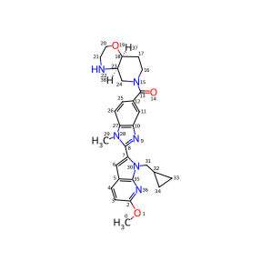 COc1ccc2cc(-c3nc4cc(C(=O)N5CC[C@@H]6OCCN[C@@H]6C5)ccc4n3C)n(CC3CC3)c2n1